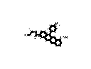 COc1cccc2cc3cc4cc(C(=O)N[C@@H](C)CO)ccc4c(-c4ccc(C(F)(F)F)cc4)c3cc12